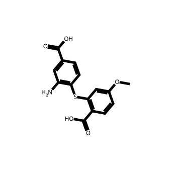 COc1ccc(C(=O)O)c(Sc2ccc(C(=O)O)cc2N)c1